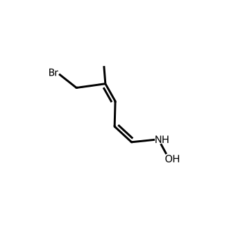 C/C(=C/C=C\NO)CBr